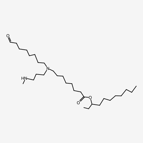 CCCCCCCCC(CC)OC(=O)CCCCCCCN(CCCCCCCC=O)CCCNC